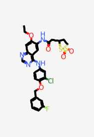 CCOc1cc2ncnc(Nc3ccc(OCc4cccc(F)c4)c(Cl)c3)c2cc1NC(=O)CC1CCS(=O)(=O)S1